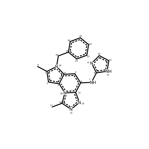 Cc1cc2c(cc(Nc3ncc[nH]3)c3nnc(C)n32)n1Cc1ccccc1